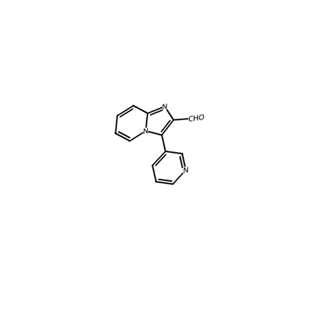 O=Cc1nc2ccccn2c1-c1cccnc1